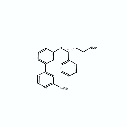 CNCC[C@@H](Oc1cccc(-c2ccnc(SC)n2)c1)c1ccccc1